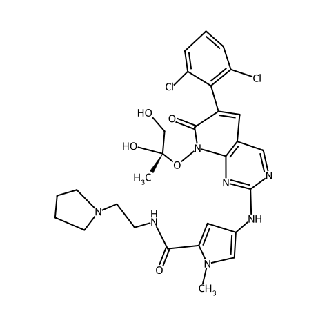 Cn1cc(Nc2ncc3cc(-c4c(Cl)cccc4Cl)c(=O)n(O[C@](C)(O)CO)c3n2)cc1C(=O)NCCN1CCCC1